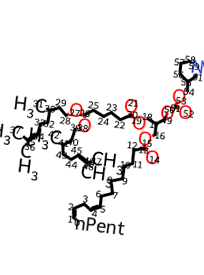 CCCCC/C=C\C/C=C\CCCCCCCC(=O)OCC(COC(=O)CCCCC(OCCC(C)CCC=C(C)C)OCCC(C)CCC=C(C)C)COC(=O)OCC1CCCN(CC)C1